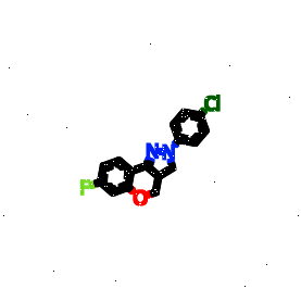 Fc1ccc2c(c1)OCC1CN(c3ccc(Cl)cc3)N=C21